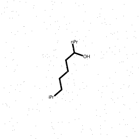 CCCC(O)CCCCC(C)C